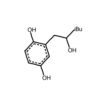 CCC(C)C(O)Cc1cc(O)ccc1O